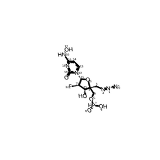 [N-]=[N+]=NC[C@]1(CO[PH](=O)O)O[C@@H](n2ccc(NO)nc2=O)[C@H](F)[C@@H]1O